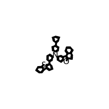 c1ccc(-c2ccc(N(c3cccc(-c4cccc5c4sc4ccccc45)c3)c3ccc4oc5ccc6ccccc6c5c4c3)cc2)cc1